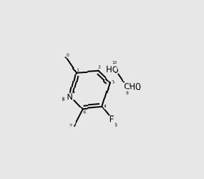 Cc1ccc(F)c(C)n1.O=CO